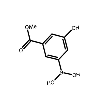 COC(=O)c1cc(O)cc(B(O)O)c1